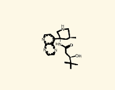 C[C@@H]1CNC[C@](NC(=O)C[C@@H](O)C(C)(C)C)(c2ccnc3nccnc23)C1